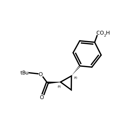 CC(C)(C)OC(=O)[C@@H]1C[C@H]1c1ccc(C(=O)O)cc1